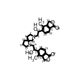 Cc1c([C@@H](O)CN2CCC3(CCCN3C[C@H](O)c3ccc4c(c3C)COC4=O)C2)ccc2c1COC2=O